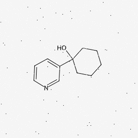 OC1(c2cccnc2)C[CH]CCC1